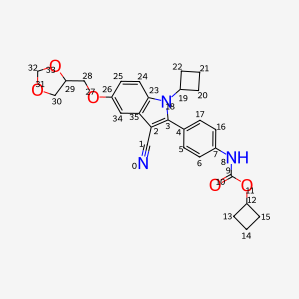 N#Cc1c(-c2ccc(NC(=O)OC3CCC3)cc2)n(C2CCC2)c2ccc(OCC3COCO3)cc12